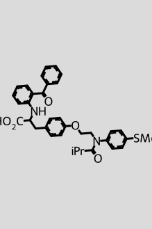 CSc1ccc(N(CCOc2ccc(CC(Nc3ccccc3C(=O)c3ccccc3)C(=O)O)cc2)C(=O)C(C)C)cc1